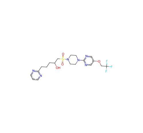 O=S(=O)(CC(O)CCCc1ncccn1)N1CCN(c2ncc(OCC(F)(F)F)cn2)CC1